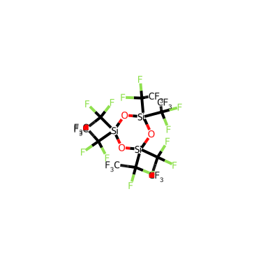 FC(F)(F)C(F)(F)[Si]1(C(F)(F)C(F)(F)F)O[Si](C(F)(F)C(F)(F)F)(C(F)(F)C(F)(F)F)O[Si](C(F)(F)C(F)(F)F)(C(F)(F)C(F)(F)F)O1